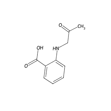 CC(=O)CNc1ccccc1C(=O)O